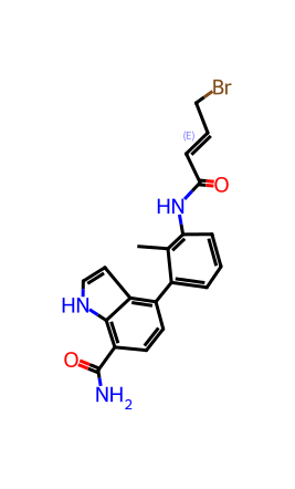 Cc1c(NC(=O)/C=C/CBr)cccc1-c1ccc(C(N)=O)c2[nH]ccc12